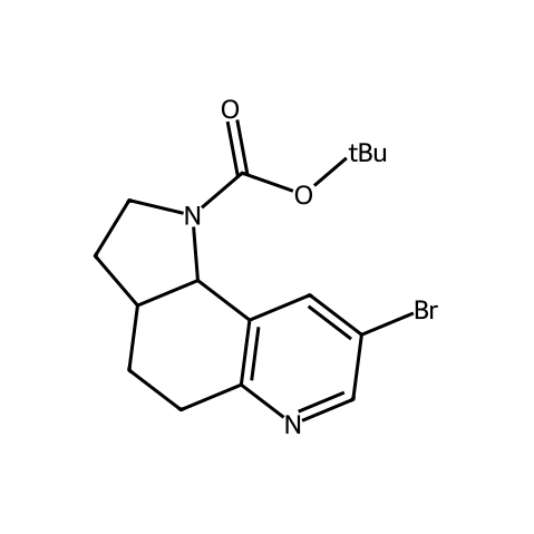 CC(C)(C)OC(=O)N1CCC2CCc3ncc(Br)cc3C21